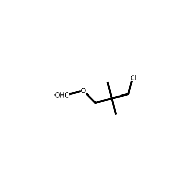 CC(C)(CCl)CO[C]=O